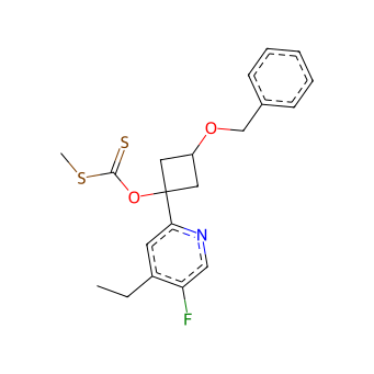 CCc1cc(C2(OC(=S)SC)CC(OCc3ccccc3)C2)ncc1F